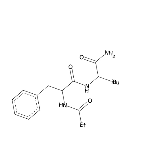 CCC(=O)NC(Cc1ccccc1)C(=O)NC(C(N)=O)C(C)CC